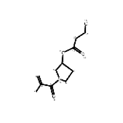 C=C(C)C(=O)N1CCC(OC(=O)CCCl)C1